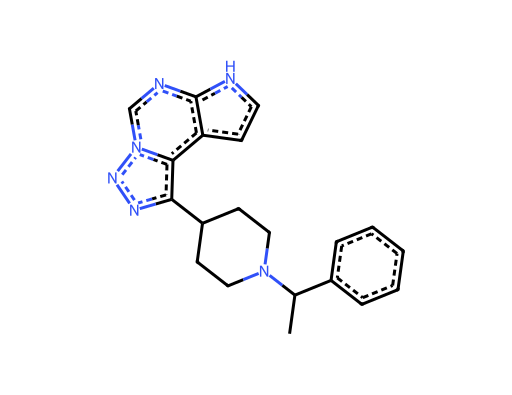 CC(c1ccccc1)N1CCC(c2nnn3cnc4[nH]ccc4c23)CC1